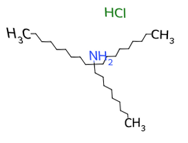 CCCCCCCCCC(N)(CCCCCCCCC)CCCCCCCCC.Cl